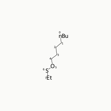 CCCCCCCCOSCC